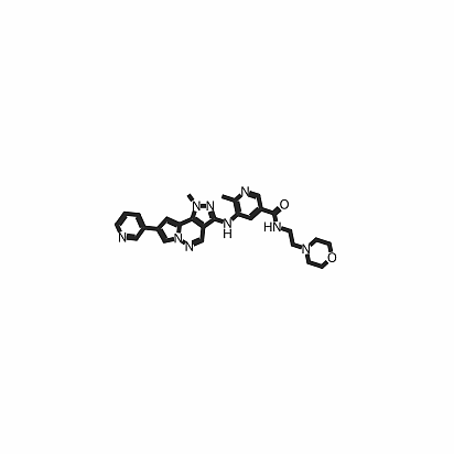 Cc1ncc(C(=O)NCCN2CCOCC2)cc1Nc1nn(C)c2c1cnn1cc(-c3cccnc3)cc21